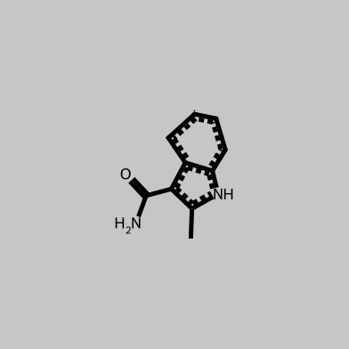 Cc1[nH]c2cc[c]cc2c1C(N)=O